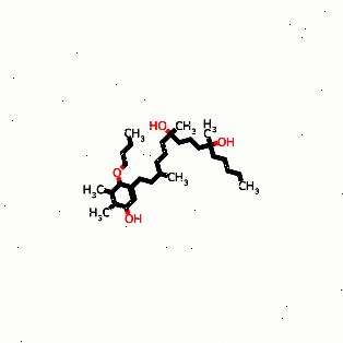 CCCCCC(C)(O)CCCC(C)(O)CCCC(C)CCC1=CC(O)C(C)C(C)C1OCCCC